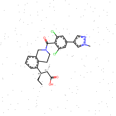 CC[C@@H](c1cccc2c1CCN(C(=O)c1c(Cl)cc(-c3cnn(C)c3)cc1Cl)C2)[C@H](C)C(=O)O